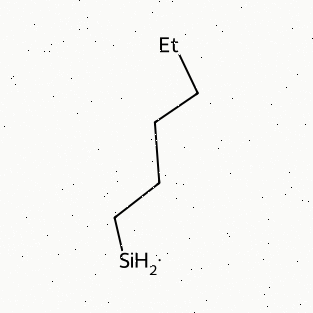 CCCCCC[SiH2]